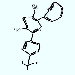 Cc1cc(N)c(-c2ccccc2)nc1-c1cnc(C(F)(F)F)nc1